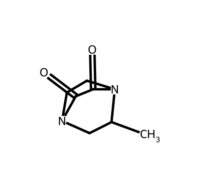 CC1CN2CCN1C(=O)C2=O